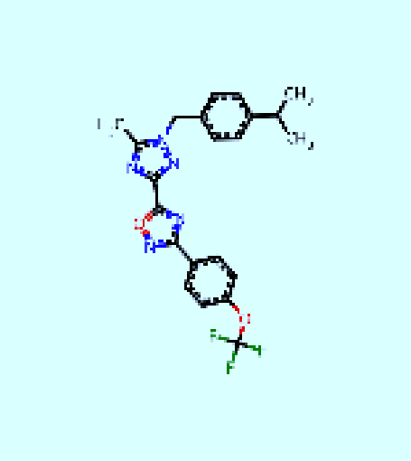 Cc1nc(-c2nc(-c3ccc(OC(F)(F)F)cc3)no2)nn1Cc1ccc(C(C)C)cc1